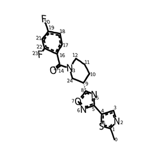 Cc1ncc(-c2noc([C@H]3CCCN(C(=O)c4ccc(F)cc4F)C3)n2)s1